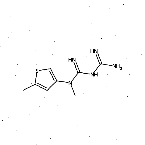 Cc1cc(N(C)C(=N)NC(=N)N)cs1